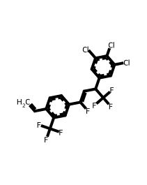 C=Cc1ccc(/C(F)=C/C(c2cc(Cl)c(Cl)c(Cl)c2)C(F)(F)F)cc1C(F)(F)F